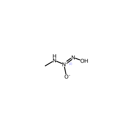 CN/[N+]([O-])=N/O